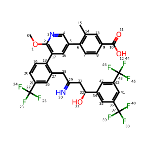 COc1ncc(-c2ccc(C(=O)O)cc2C)cc1-c1ccc(C(F)(F)F)cc1CC(=N)C[C@H](O)c1cc(C(F)(F)F)cc(C(F)(F)F)c1